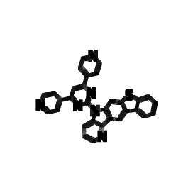 c1ccc2c(c1)sc1cc3c(cc12)c1ncccc1n3-c1nc(-c2ccncc2)cc(-c2ccncc2)n1